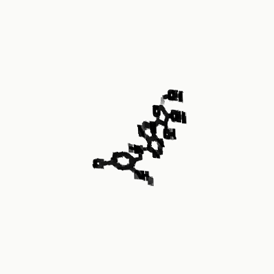 Nc1cc(Cl)ccc1CNc1ncnc2c1ncn2C1O[C@H](CO)[C@@H](O)[C@H]1O